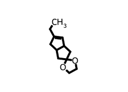 CCC1=CC2CC3(CC2C1)OCCO3